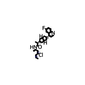 C=C(/C=C(Cl)\C=C/C)NC(=O)C(C)[C@H]1C[C@H]2C[C@@H](c3ccnc4ccc(F)cc34)C[C@H]2C1